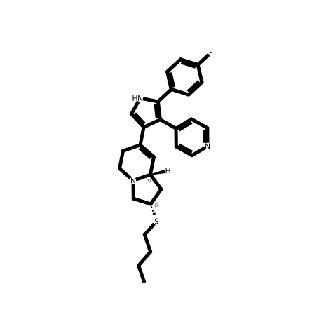 CCCCS[C@H]1C[C@H]2C=C(c3c[nH]c(-c4ccc(F)cc4)c3-c3ccncc3)CCN2C1